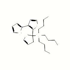 CCC[CH2][Sn]([CH2]CCC)([CH2]CCC)[C]1(c2occc2-c2ccco2)CC=CO1